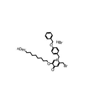 Br.CCCCCCCCCCCCCCCCCCOc1cn(Cc2ccc(OCc3ccccc3)cc2)c(CBr)cc1=O